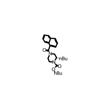 CCCCOC(=O)N1CCN(C(=O)c2cccc3ccccc23)C[C@@H]1CCCC